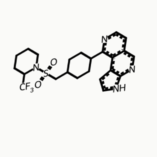 O=S(=O)(CC1CCC(c2nccc3cnc4[nH]ccc4c23)CC1)N1CCCCC1C(F)(F)F